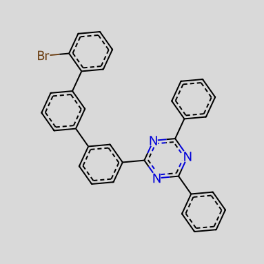 Brc1ccccc1-c1cccc(-c2cccc(-c3nc(-c4ccccc4)nc(-c4ccccc4)n3)c2)c1